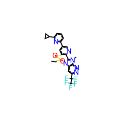 CCS(=O)(=O)c1cc(-c2cccc(C3CC3)n2)cnc1-c1nc2cc(C(F)(F)C(F)(F)F)nnc2n1C